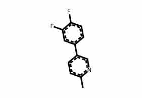 Cc1ccc(-c2ccc(F)c(F)c2)cn1